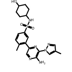 Cc1cnn(-c2nc(-c3cc(S(=O)(=O)NC4CCC(O)CC4)ccc3C)cnc2N)c1